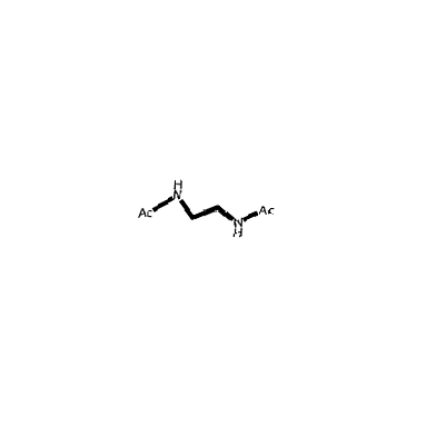 CC(=O)NCCNC(C)=O